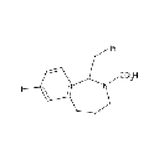 CC(C)CC1c2ccc(I)cc2CCCN1C(=O)O